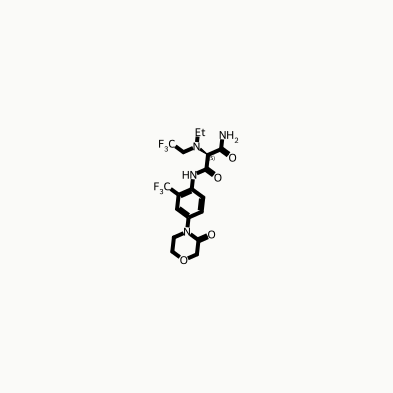 CCN(CC(F)(F)F)[C@@H](C(N)=O)C(=O)Nc1ccc(N2CCOCC2=O)cc1C(F)(F)F